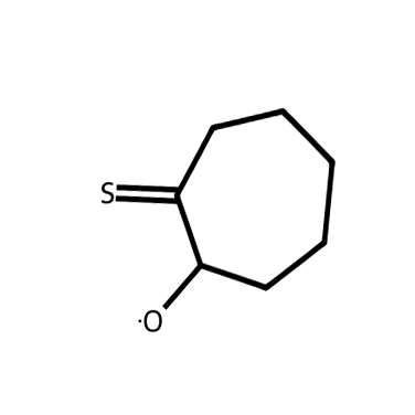 [O]C1CCCCCC1=S